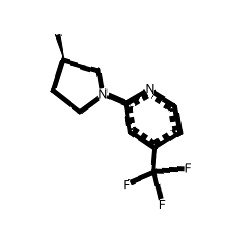 [CH2][C@@H]1CCN(c2cc(C(F)(F)F)ccn2)C1